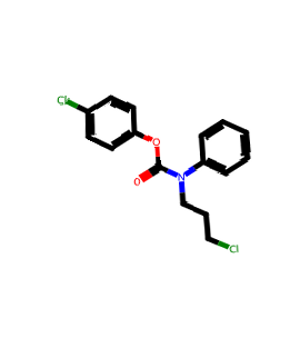 O=C(Oc1ccc(Cl)cc1)N(CCCCl)c1ccccc1